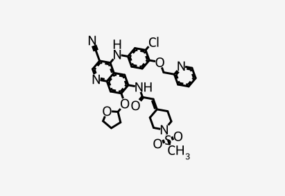 CS(=O)(=O)N1CCC(=CC(=O)Nc2cc3c(Nc4ccc(OCc5ccccn5)c(Cl)c4)c(C#N)cnc3cc2OC2CCCO2)CC1